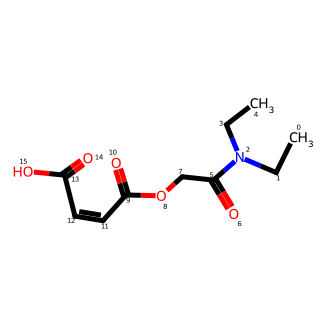 CCN(CC)C(=O)COC(=O)/C=C\C(=O)O